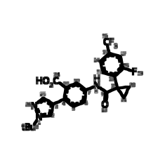 CC(C)(C)n1cc(-c2ccc(NC(=O)C3(c4ccc(C(F)(F)F)cc4F)CC3)cc2C(=O)O)cn1